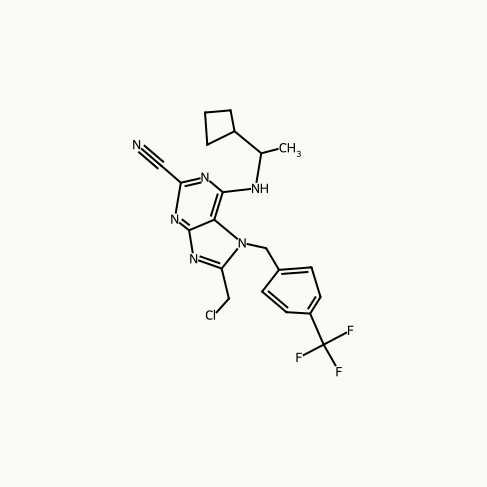 CC(Nc1nc(C#N)nc2nc(CCl)n(Cc3ccc(C(F)(F)F)cc3)c12)C1CCC1